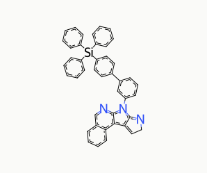 C1=c2c(n(-c3cccc(-c4ccc([Si](c5ccccc5)(c5ccccc5)c5ccccc5)cc4)c3)c3ncc4ccccc4c23)=NC1